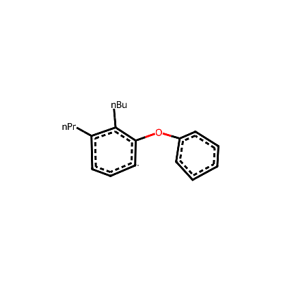 CCCCc1c(Oc2ccccc2)[c]ccc1CCC